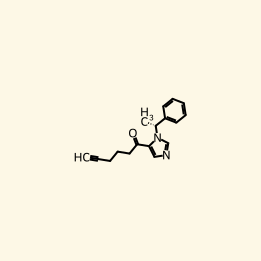 C#CCCCC(=O)c1cncn1[C@H](C)c1ccccc1